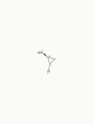 CCC1C[C@@H]1C=O